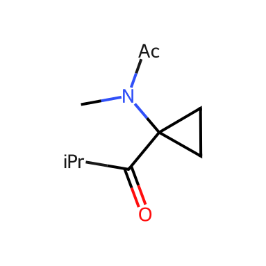 CC(=O)N(C)C1(C(=O)C(C)C)CC1